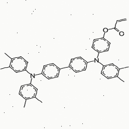 C=CC(=O)Oc1ccc(N(c2ccc(-c3ccc(N(c4ccc(C)c(C)c4)c4ccc(C)c(C)c4)cc3)cc2)c2ccc(C)c(C)c2)cc1